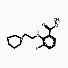 COC(=O)c1cccc(F)c1NCCN1CCCCC1